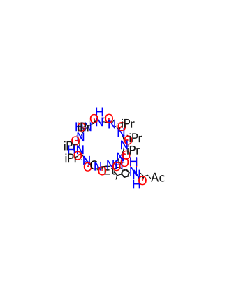 CC[C@H]1NC(=O)C([C@@H](O)[C@@H](C)C/C=C(/C)c2ccc(NNCC(=O)CCC(C)=O)cc2)N(C)C(=O)[C@@H](C(C)C)N(C)C(=O)[C@@H](CC(C)C)N(C)C(=O)[C@@H](CC(C)C)N(C)C(=O)[C@@H](C)NC(=O)[C@@H](C)NC(=O)[C@@H](CC(C)C)N(C)C(=O)[C@@H](C(C)C)NC(=O)[C@@H](CC(C)C)N(C)C(=O)CN(C)C1=O